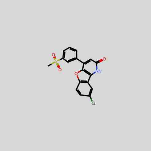 CS(=O)(=O)c1cccc(-c2cc(=O)[nH]c3c2oc2ccc(Cl)cc23)c1